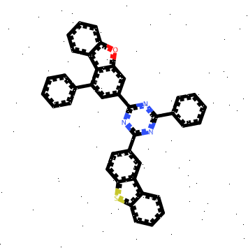 c1ccc(-c2nc(-c3cc(-c4ccccc4)c4c(c3)oc3ccccc34)nc(-c3ccc4sc5ccccc5c4c3)n2)cc1